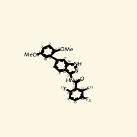 COc1ccc(OC)c(-c2ccc3c(NC(=O)c4c(F)ccc(F)c4F)n[nH]c3c2)c1